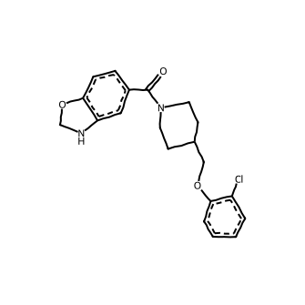 O=C(c1ccc2c(c1)NCO2)N1CCC(COc2ccccc2Cl)CC1